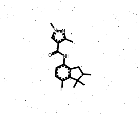 Cc1nn(C)cc1C(=O)Nc1ccc(F)c2c1CC(C)C2(C)C